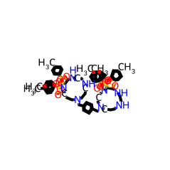 Cc1ccc(S(=O)(=O)N2CCCN(Cc3ccc(CN4CCCNCCNCC(S(=O)(=O)c5ccc(C)cc5)(S(=O)(=O)c5ccc(C)cc5)N(S(=O)(=O)c5ccc(C)cc5)CCC4)cc3)CCCNCCNCC2(S(=O)(=O)c2ccc(C)cc2)S(=O)(=O)c2ccc(C)cc2)cc1